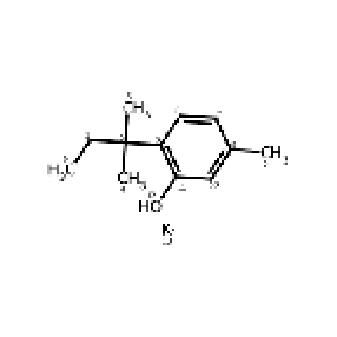 CCC(C)(C)c1ccc(C)cc1O.[K]